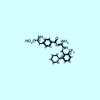 N/C(=N\C(=O)c1ccc(C[C@H](N)C(=O)O)cc1)NCc1c(N2CCCCC2)cccc1C(F)(F)F